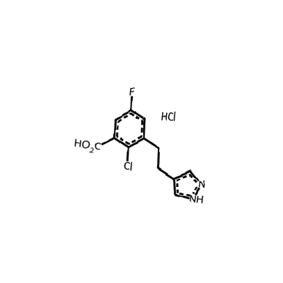 Cl.O=C(O)c1cc(F)cc(CCc2cn[nH]c2)c1Cl